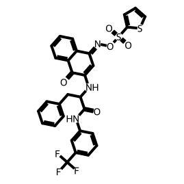 O=C1C(NC(Cc2ccccc2)C(=O)Nc2cccc(C(F)(F)F)c2)=CC(=NOS(=O)(=O)c2cccs2)c2ccccc21